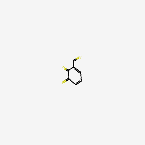 S=CC1=CC=CC(=S)C1=S